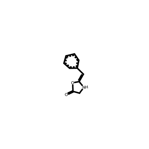 O=C1CNC(=Cc2ccccc2)O1